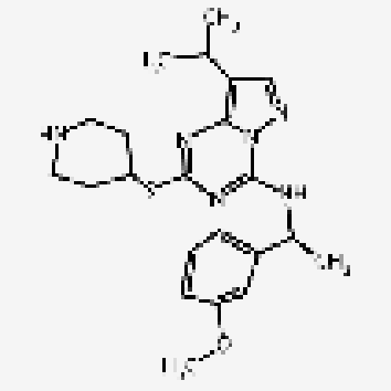 COc1cccc([C@H](C)Nc2nc(SC3CCNCC3)nc3c(C(C)C)cnn23)c1